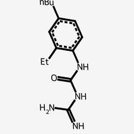 CCCCc1ccc(NC(=O)NC(=N)N)c(CC)c1